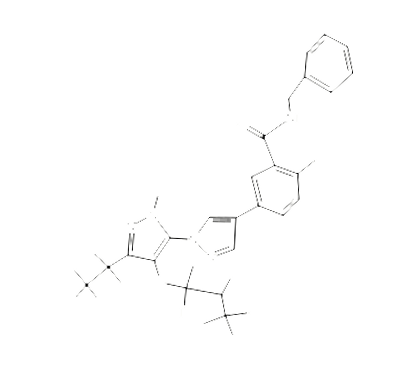 Cn1nc(C(F)(F)C(F)(F)F)c(OC(F)(F)C(F)C(F)(F)F)c1-n1cc(-c2ccc(Cl)c(C(=O)NCc3ccccc3)c2)cn1